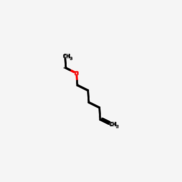 C=CCCCCO[CH]C